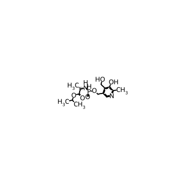 Cc1ncc(CO[PH](=O)N[C@@H](C)C(=O)OC(C)C)c(CO)c1O